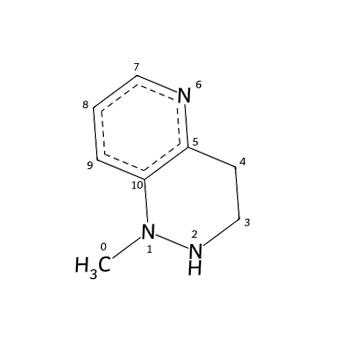 CN1NCCc2ncccc21